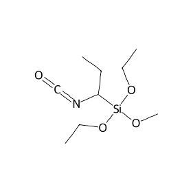 CCO[Si](OC)(OCC)C(CC)N=C=O